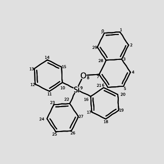 [c]1ccc2cccc(O[Si](c3ccccc3)(c3ccccc3)c3ccccc3)c2c1